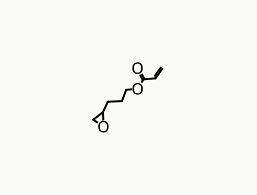 C=CC(=O)OCCCC1CO1